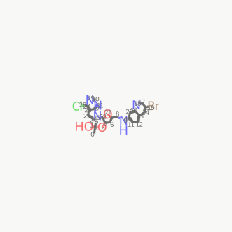 CC(C)(O)O[C@@H]1CC(CNc2ccc3cc(Br)cnc3c2)OC1n1ccc2c(Cl)ncnc21